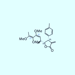 C=C(/C=C(OC)\C(OC)=C(/C)OC)[C@H]1OC(=O)C(=C)[C@H]1c1ccc(C)cc1